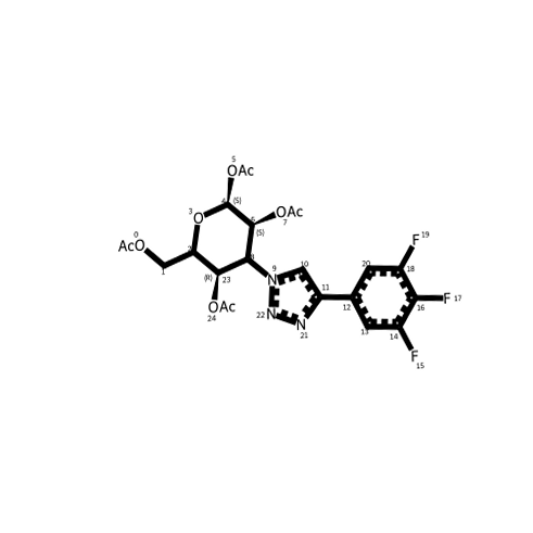 CC(=O)OCC1O[C@@H](OC(C)=O)[C@@H](OC(C)=O)C(n2cc(-c3cc(F)c(F)c(F)c3)nn2)[C@H]1OC(C)=O